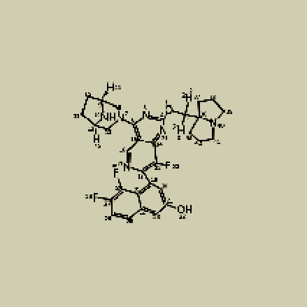 [2H]C([2H])(Oc1nc(N2C[C@H]3CC[C@@H](C2)N3)c2cnc(-c3cc(O)cc4ccc(F)c(F)c34)c(F)c2n1)C12CCCN1CCC2